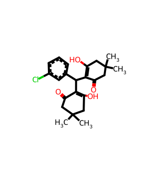 CC1(C)CC(=O)C(C(C2=C(O)CC(C)(C)CC2=O)c2cccc(Cl)c2)=C(O)C1